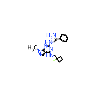 Cn1ncc2c(NCC3(F)CCC3)nc(NC[C@H](N)c3ccccc3)nc21